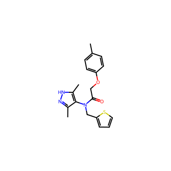 Cc1ccc(OCC(=O)N(Cc2cccs2)c2c(C)n[nH]c2C)cc1